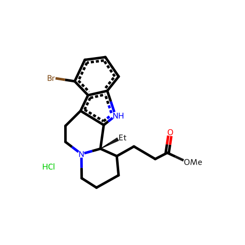 CC[C@]12c3[nH]c4cccc(Br)c4c3CCN1CCCC2CCC(=O)OC.Cl